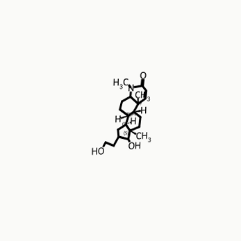 CN1C(=O)C=C[C@@]2(C)C1CC[C@@H]1[C@H]2CC[C@]2(C)C(O)C(CCO)C[C@@H]12